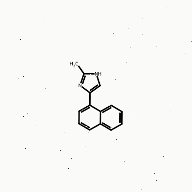 Cc1nc(-c2cccc3ccccc23)c[nH]1